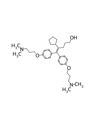 CN(C)CCCOc1ccc(C(=C(CCCO)C2CCCC2)c2ccc(OCCCN(C)C)cc2)cc1